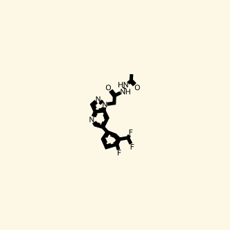 CC(=O)NNC(=O)Cn1ncc2ncc(-c3ccc(F)c(C(F)F)c3)cc21